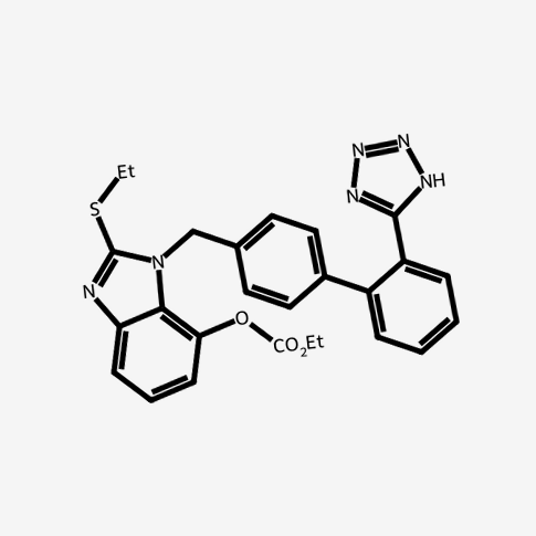 CCOC(=O)Oc1cccc2nc(SCC)n(Cc3ccc(-c4ccccc4-c4nnn[nH]4)cc3)c12